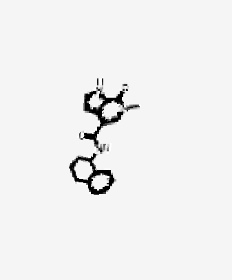 Cn1cc(C(=O)NC2CCCc3ccccc32)c2cc[nH]c2c1=O